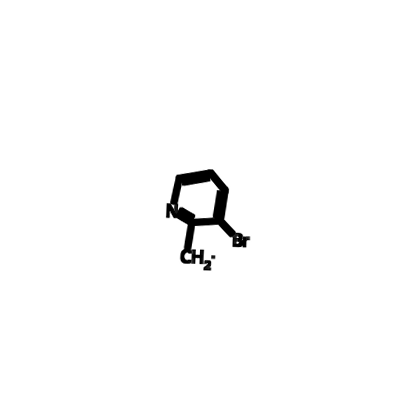 [CH2]c1ncccc1Br